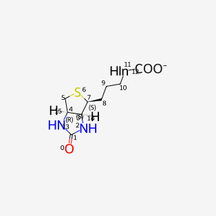 O=C1N[C@H]2[C@H](CS[C@H]2CC[CH2][InH][C](=O)[O-])N1